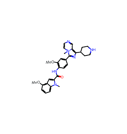 COc1cc(C2=NC(C3CCNCC3)=C3C=NC=C[N+]23C)ccc1NC(=O)c1cc2c(OC)cccc2n1C